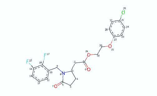 O=C(CC1CCC(=O)N1Cc1cccc(F)c1F)OCCOc1ccc(Cl)cc1